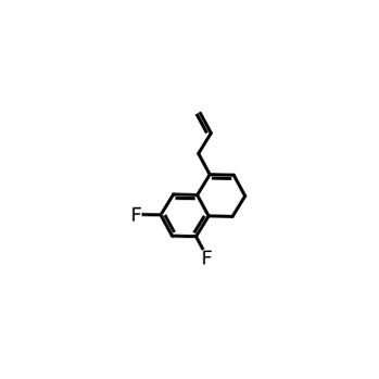 C=CCC1=CCCc2c(F)cc(F)cc21